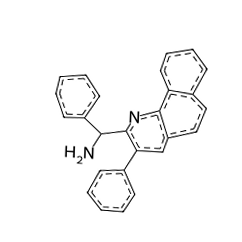 NC(c1ccccc1)c1nc2c(ccc3ccccc32)cc1-c1ccccc1